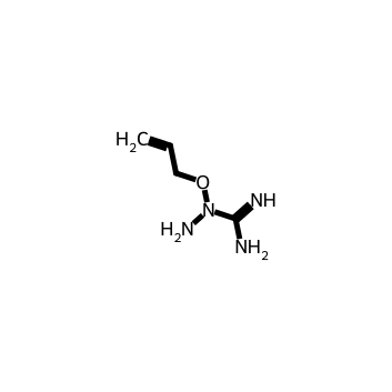 C=CCON(N)C(=N)N